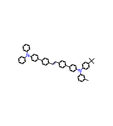 Cc1cccc(N(c2ccc(-c3ccc(/C=C/c4ccc(-c5ccc(N(c6ccccc6)c6ccccc6)cc5)cc4)cc3)cc2)c2ccc(C(C)(C)C)cc2)c1